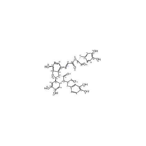 O=CC(Cc1ccc(O)c(O)c1)OC(=O)[C@H]1c2c(/C=C/C(=O)O[C@@H](C=O)Cc3ccc(O)c(O)c3)ccc(O)c2O[C@@H]1C1C=C(O)C(O)=CC1